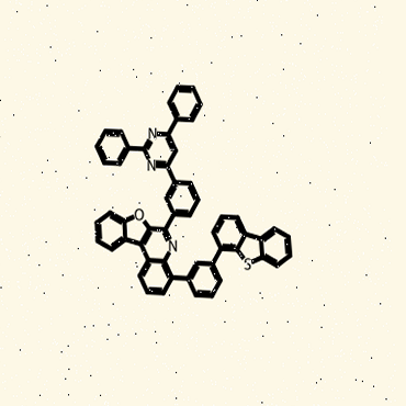 c1ccc(-c2cc(-c3cccc(-c4nc5c(-c6cccc(-c7cccc8c7sc7ccccc78)c6)cccc5c5c4oc4ccccc45)c3)nc(-c3ccccc3)n2)cc1